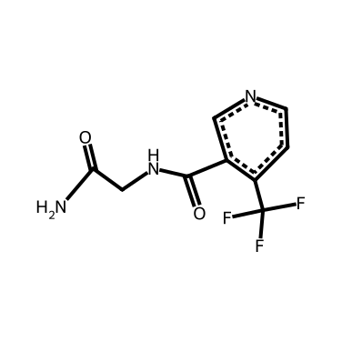 NC(=O)CNC(=O)c1cnccc1C(F)(F)F